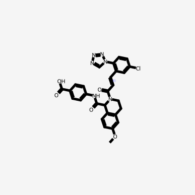 COc1ccc2c(c1)CCN(C(=O)/C=C/c1cc(Cl)ccc1-n1cnnn1)C2C(=O)Nc1ccc(C(=O)O)cc1